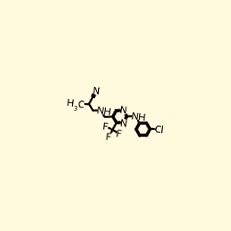 CC(C#N)CNCc1cnc(Nc2cccc(Cl)c2)nc1C(F)(F)F